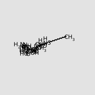 CCCCCCCCCCCCCCSCCNC(=O)CCNC(=O)[C@H](O)C(C)(C)COP(=O)(O)OP(=O)(O)OC[C@H]1O[C@@H](n2cnc3c(N)ncnc32)[C@H](O)[C@@H]1OP(=O)(O)O